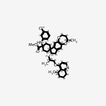 COC(=O)C1(Nc2cccc(Cl)c2)CCC2(CC1)c1cc3c(cc1C[C@@H]2C[C@@H](C)COc1ccnc2c1[C@H](C)CCC2)O[C@H](C)CCO3